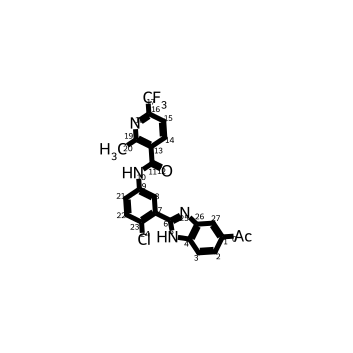 CC(=O)c1ccc2[nH]c(-c3cc(NC(=O)c4ccc(C(F)(F)F)nc4C)ccc3Cl)nc2c1